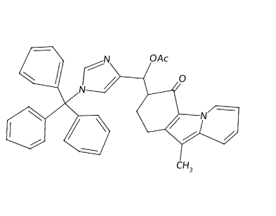 CC(=O)OC(c1cn(C(c2ccccc2)(c2ccccc2)c2ccccc2)cn1)C1CCc2c(C)c3ccccn3c2C1=O